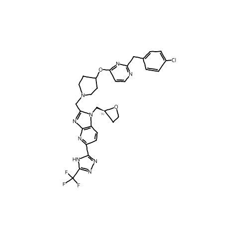 FC(F)(F)c1nnc(-c2ccc3c(n2)nc(CN2CCC(Oc4ccnc(Cc5ccc(Cl)cc5)n4)CC2)n3C[C@@H]2CCO2)[nH]1